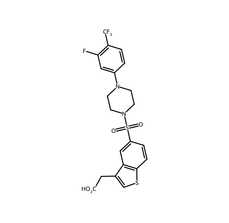 O=C(O)Cc1csc2ccc(S(=O)(=O)N3CCN(c4ccc(C(F)(F)F)c(F)c4)CC3)cc12